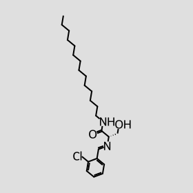 CCCCCCCCCCCCCCNC(=O)[C@H](CO)N=Cc1ccccc1Cl